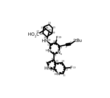 CC(C)(C)C#Cc1nc(-c2c[nH]c3ncc(F)cc23)nc(NC2C3CCC(CC3)C2C(=O)O)c1F